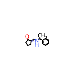 C[C@@H](N/C=C1\CCCC1=O)c1ccccc1